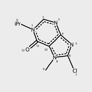 CC(C)n1cnc2nc(Cl)n(C)c2c1=O